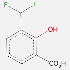 O=C(O)c1cccc(C(F)F)c1O